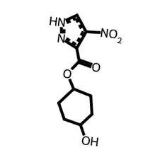 O=C(OC1CCC(O)CC1)c1n[nH]cc1[N+](=O)[O-]